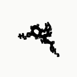 [CH2]c1ccc2[nH]nc(NCC)c2c1